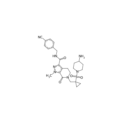 Cn1nc(C(=O)NCc2ccc(C#N)cc2)c2c1C(=O)N(CC1(S(=O)(=O)N3CCC(N)CC3)CC1)CC2